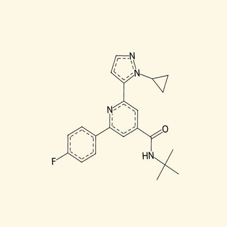 CC(C)(C)NC(=O)c1cc(-c2ccc(F)cc2)nc(-c2ccnn2C2CC2)c1